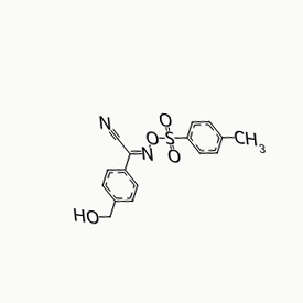 Cc1ccc(S(=O)(=O)O/N=C(\C#N)c2ccc(CO)cc2)cc1